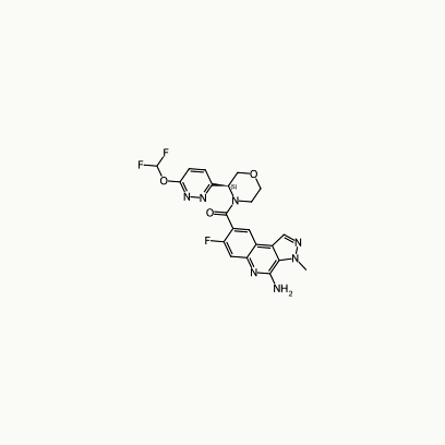 Cn1ncc2c3cc(C(=O)N4CCOC[C@@H]4c4ccc(OC(F)F)nn4)c(F)cc3nc(N)c21